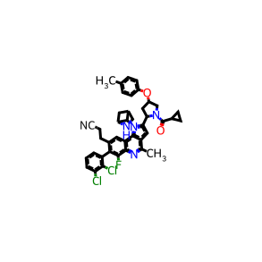 Cc1ccc(OC2CC(c3cc4c(C)nc5c(F)c(-c6cccc(Cl)c6Cl)c(CCC#N)cc5c4n3C3C4CNC3C4)N(C(=O)C3CC3)C2)cc1